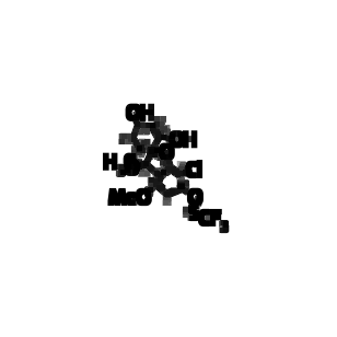 COc1cc(OSC(F)(F)F)c(Cl)c2c1C(=O)[C@@]1(O2)C(O)=CC(O)C[C@H]1C